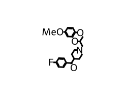 COc1ccc2c(c1)OC(CN1CCC(C(=O)c3ccc(F)cc3)CC1)CO2